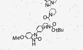 COCCCn1c([C@@H]2CCCN(C(=O)C[C@@H](Cc3ccc(-n4c(=O)[nH]c5cc(OC)ccc54)cc3)NC(=O)OC(C)(C)C)C2)nc2ccccc21